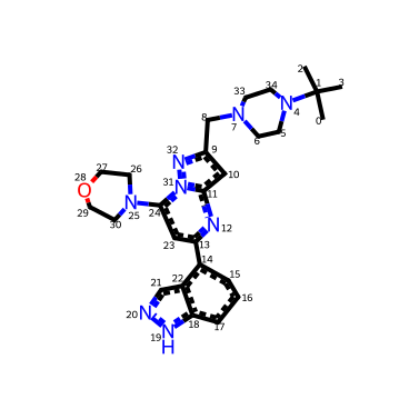 CC(C)(C)N1CCN(Cc2cc3nc(-c4cccc5[nH]ncc45)cc(N4CCOCC4)n3n2)CC1